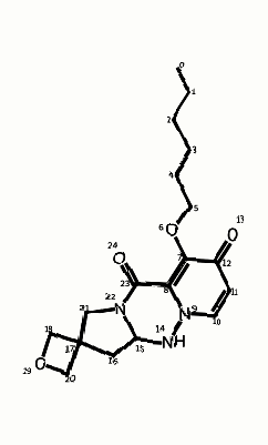 CCCCCCOc1c2n(ccc1=O)NC1CC3(COC3)CN1C2=O